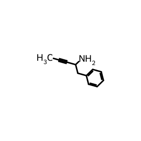 CC#CC(N)Cc1ccccc1